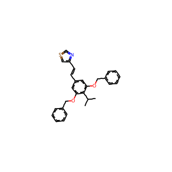 CC(C)c1c(OCc2ccccc2)cc(C=Cc2cscn2)cc1OCc1ccccc1